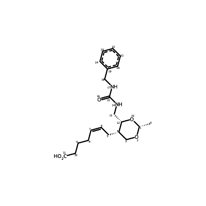 C[C@@H]1OC[C@H](C/C=C\CCCC(=O)O)[C@H](CNC(=O)NCc2ccccc2)O1